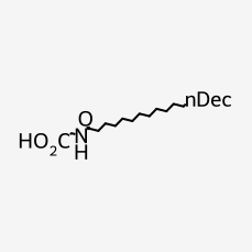 CCCCCCCCCCCCCCCCCCCCCC(=O)NCC(=O)O